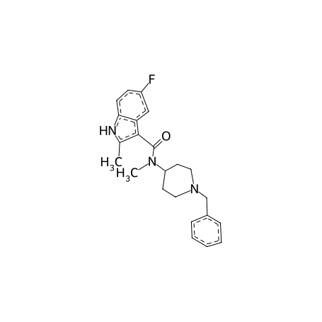 Cc1[nH]c2ccc(F)cc2c1C(=O)N(C)C1CCN(Cc2ccccc2)CC1